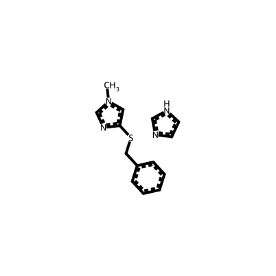 Cn1cnc(SCc2ccccc2)c1.c1c[nH]cn1